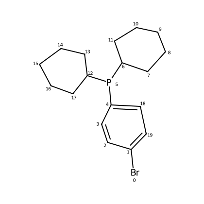 Brc1ccc(P(C2CCCCC2)C2CCCCC2)cc1